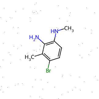 CNc1ccc(Br)c(C)c1N